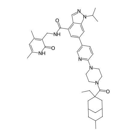 CCC1(C(=O)N2CCN(c3ccc(-c4cc(C(=O)NCc5c(C)cc(C)[nH]c5=O)c5cnn(C(C)C)c5c4)cn3)CC2)CC2CC(C)CC(C2)C1